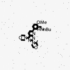 CCCCNCc1cc(-c2ccc3c(N4CCOCC4)nc(N4CCOC[C@@H]4C)nc3n2)ccc1OC